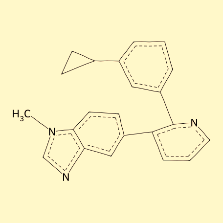 Cn1cnc2cc(-c3cccnc3-c3cccc(C4CC4)c3)ccc21